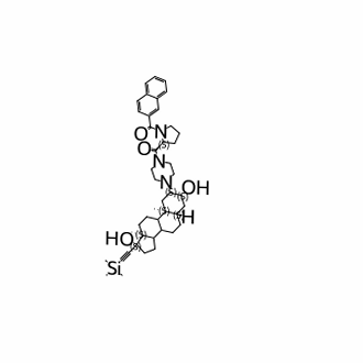 C[C@]12CCC3C(CC[C@H]4C[C@H](O)[C@@H](N5CCN(C(=O)[C@@H]6CCCN6C(=O)c6ccc7ccccc7c6)CC5)C[C@]34C)C1CC[C@@]2(O)C#C[Si](C)(C)C